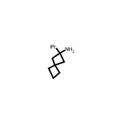 CC(C)C1(N)CC2(CCC2)C1